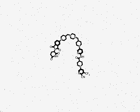 N#Cc1ncc(N2CCC(C(=O)Nc3ccc(N4CCC(CN5CCN(CC6CCN(c7ccc8c(c7)C(=O)N(C7CCC(=O)NC7=O)C8=O)CC6)CC5)CC4)cn3)CC2)cc1C(F)(F)F